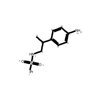 CC(CNS(=O)(=O)C(C)C)c1ccc(N)cc1